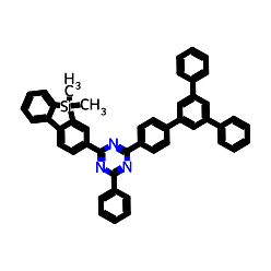 C[Si]1(C)c2ccccc2-c2ccc(-c3nc(-c4ccccc4)nc(-c4ccc(-c5cc(-c6ccccc6)cc(-c6ccccc6)c5)cc4)n3)cc21